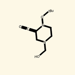 CC(C)(C)ON1CCN(CO)CC1=C=O